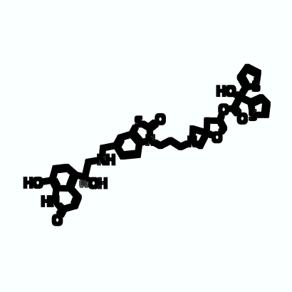 O=C(OC1COC2(C1)CN(CCCn1c(=O)sc3cc(CNC[C@H](O)c4ccc(O)c5[nH]c(=O)ccc45)ccc31)C2)C(O)(c1cccs1)c1cccs1